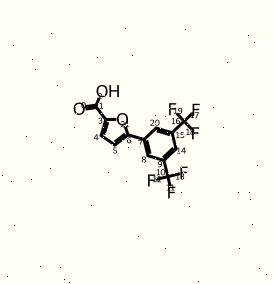 O=C(O)c1ccc(-c2cc(C(F)(F)F)cc(C(F)(F)F)c2)o1